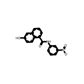 O=C(Nc1cccc([N+](=O)[O-])c1)c1cccc2cc(O)ccc12